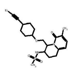 CCC#CC1CCC(OCC2C(NS(C)(=O)=O)CCc3ccc(C)c(=O)n32)CC1